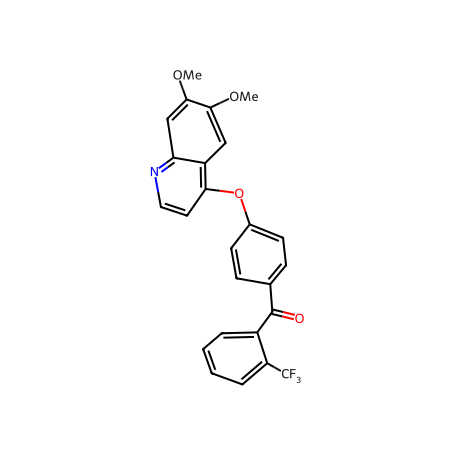 COc1cc2nccc(Oc3ccc(C(=O)c4ccccc4C(F)(F)F)cc3)c2cc1OC